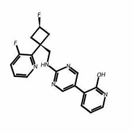 Oc1ncccc1-c1cnc(NC[C@]2(c3ncccc3F)C[C@H](F)C2)nc1